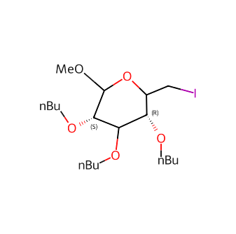 CCCCOC1[C@H](OCCCC)C(OC)OC(CI)[C@@H]1OCCCC